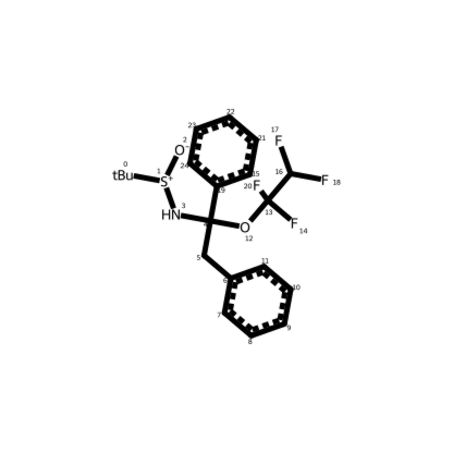 CC(C)(C)[S+]([O-])NC(Cc1ccccc1)(OC(F)(F)C(F)F)c1ccccc1